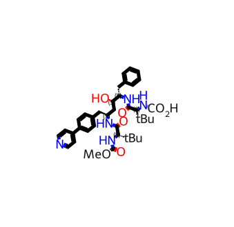 COC(=O)N[C@H](C(=O)N[C@@H](Cc1ccc(-c2ccncc2)cc1)C[C@H](O)[C@H](Cc1ccccc1)NC(=O)[C@@H](NC(=O)O)C(C)(C)C)C(C)(C)C